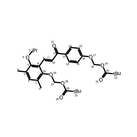 Cc1cc(C)c(OC(C)C)c(/C=C/C(=O)c2ccc(OCOC(=O)C(C)(C)C)cc2)c1OCOC(=O)C(C)(C)C